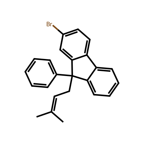 CC(C)=CCC1(c2ccccc2)c2ccccc2-c2ccc(Br)cc21